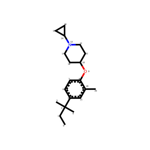 CCC(C)(C)c1ccc(OC2CCN(C3CC3)CC2)c(C)c1